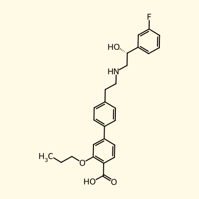 CCCOc1cc(-c2ccc(CCNC[C@H](O)c3cccc(F)c3)cc2)ccc1C(=O)O